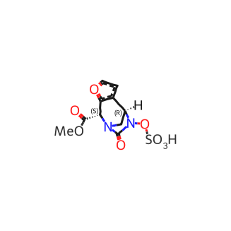 COC(=O)[C@@H]1c2occc2[C@@H]2CN1C(=O)N2OS(=O)(=O)O